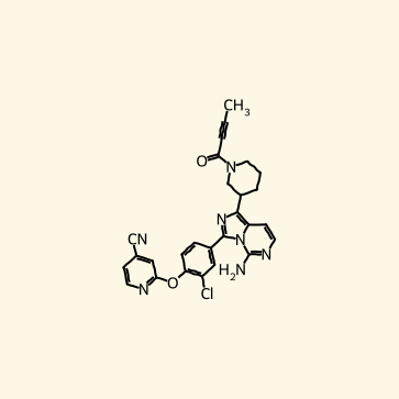 CC#CC(=O)N1CCCC(c2nc(-c3ccc(Oc4cc(C#N)ccn4)c(Cl)c3)n3c(N)nccc23)C1